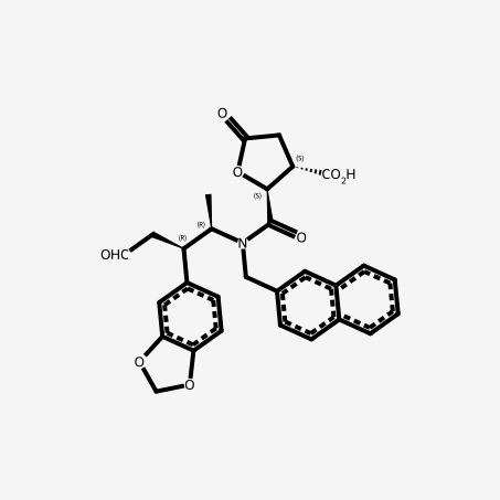 C[C@H]([C@H](CC=O)c1ccc2c(c1)OCO2)N(Cc1ccc2ccccc2c1)C(=O)[C@H]1OC(=O)C[C@@H]1C(=O)O